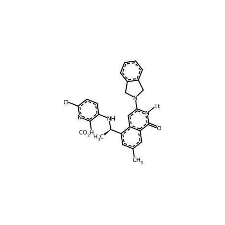 CCn1c(N2Cc3ccccc3C2)cc2c([C@@H](C)Nc3ccc(Cl)nc3C(=O)O)cc(C)cc2c1=O